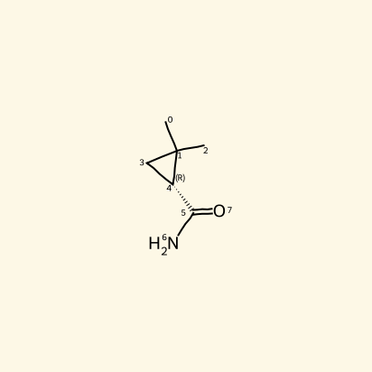 CC1(C)C[C@H]1C(N)=O